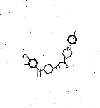 Cc1ccc(N2CCN(C(=S)COC3CCC(Nc4ccc(Cl)c(C)c4)CC3)CC2)cc1